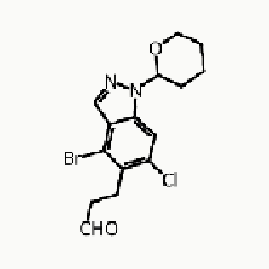 O=CCCc1c(Cl)cc2c(cnn2C2CCCCO2)c1Br